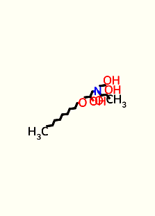 CCCCCCCCCCOCC(O)CN(CCO)C(=O)C(C)O